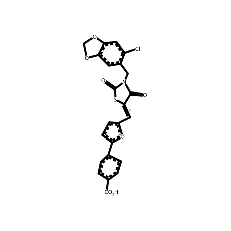 O=C(O)c1ccc(-c2ccc(/C=C3\SC(=O)N(Cc4cc5c(cc4Cl)OCO5)C3=O)o2)cc1